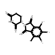 Cc1c(F)c(F)c(F)c2c1C(=O)N([C@H]1CCC(=O)NC1=O)C2=O